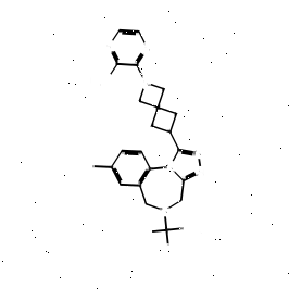 Cc1nccnc1N1CC2(CC(c3nnc4n3-c3ccc(Cl)cc3CN(C(C)(C)C(F)(F)F)C4)C2)C1